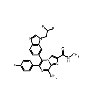 CNC(=O)c1cn2c(-c3ccc4ncn(CC(F)F)c4c3)c(-c3ccc(F)cc3)nc(N)c2n1